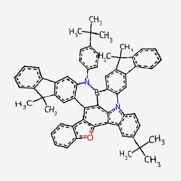 CC(C)(C)c1ccc(N2B3c4cc5c(cc4-n4c6ccc(C(C)(C)C)cc6c6c7oc8ccccc8c7c(c3c64)-c3cc4c(cc32)-c2ccccc2C4(C)C)-c2ccccc2C5(C)C)cc1